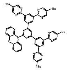 CCCCc1cnc(-c2cc(-c3cc(-c4cc(-c5ncc(CCCC)cn5)cc(-c5ncc(CCCC)cn5)c4)cc(N4c5ccccc5Oc5ccccc54)c3)cc(-c3ncc(CCCC)cn3)c2)nc1